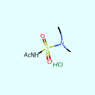 CC(=O)NS(=O)(=O)N(C)C.Cl